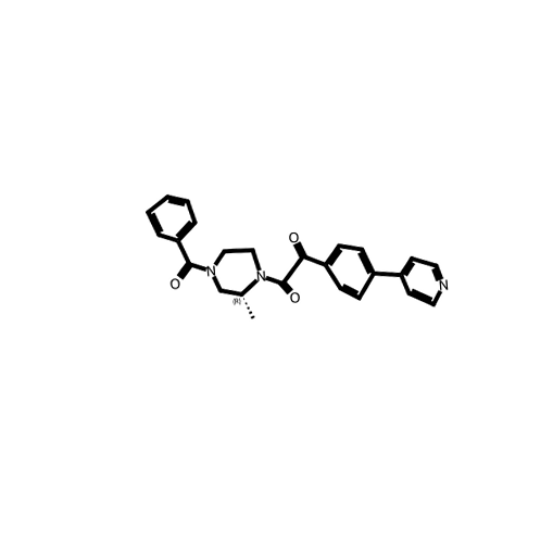 C[C@@H]1CN(C(=O)c2ccccc2)CCN1C(=O)C(=O)c1ccc(-c2ccncc2)cc1